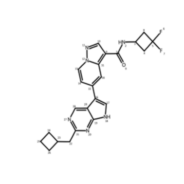 O=C(NC1CC(F)(F)C1)c1cnn2ccc(-c3c[nH]c4nc(CC5CCC5)ncc34)cc12